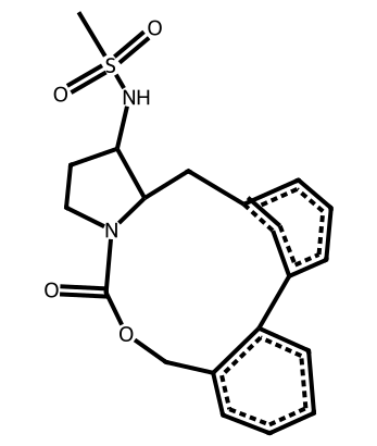 CS(=O)(=O)NC1CCN2C(=O)OCc3ccccc3-c3cccc(c3)CC12